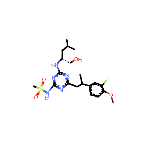 COc1ccc(C(C)Cc2nc(N[C@@H](CO)CC(C)C)nc(NS(C)(=O)=O)n2)cc1F